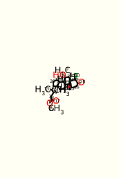 CC[C@H]1[C@@H](O)[C@@H]2[C@H](CC[C@]3(C)[C@@H](C(C)CCC(=O)OC)CC[C@@H]23)[C@@]2(C)CCC(=O)[C@H](F)[C@@H]12